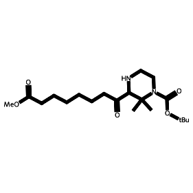 COC(=O)CCCCCCC(=O)C1NCCN(C(=O)OC(C)(C)C)C1(C)C